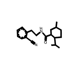 CC1CCC(C(C)C)C(C(=O)NCCc2ccccc2C#N)C1